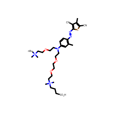 [C-]#[N+]c1c(/N=N/c2ccc(N(CCOCCOCC[N+](C)(C)CCCS(=O)(=O)O)CCOCC[N+](C)(C)CCCC)cc2C)sc(C#N)c1C